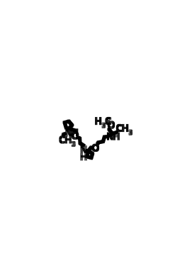 CCNC1(COCCCNC2(COCCCNC(CC)COC)CCC2)CCCC1